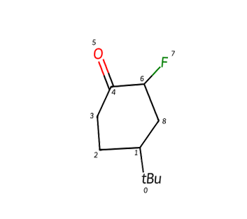 CC(C)(C)C1CCC(=O)C(F)C1